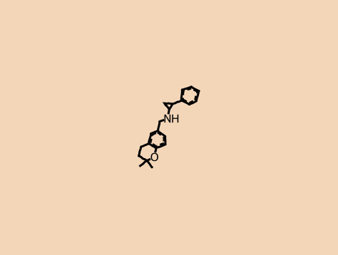 CC1(C)CCc2cc(CNC3CC3c3ccccc3)ccc2O1